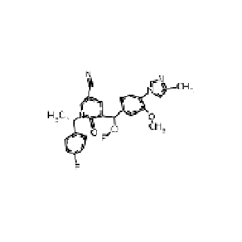 COc1cc(C(OF)c2cc(C#N)cn([C@@H](C)c3ccc(F)cc3)c2=O)ccc1-n1cnc(C)c1